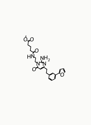 COC(=O)CCCC(=O)NCCn1c(N)nc(CCc2cccc(-c3ccco3)c2)cc1=O